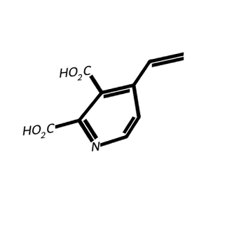 C=Cc1ccnc(C(=O)O)c1C(=O)O